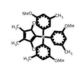 COc1cc(C)cc([Si](C2=C(C)C(C)=C(C)C2C)(c2cc(C)cc(OC)c2)c2cc(C)cc(OC)c2)c1